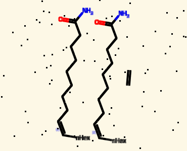 C=C.CCCCCC/C=C\CCCCCCCC(N)=O.CCCCCC/C=C\CCCCCCCC(N)=O